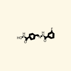 O=C(NO)c1ccc(/C=N/NC(=O)c2cccc(F)c2)cc1